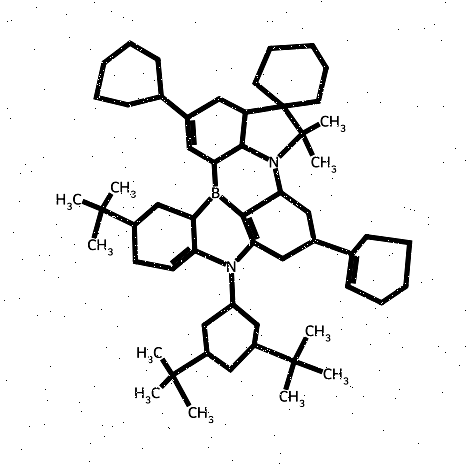 CC(C)(C)C1CC=C2C(C1)B1C3=C(CC(C4=CCCCC4)CC3N3C4C1C=C(C1CCCCC1)CC4C1(CCCCC1)C3(C)C)N2C1CC(C(C)(C)C)CC(C(C)(C)C)C1